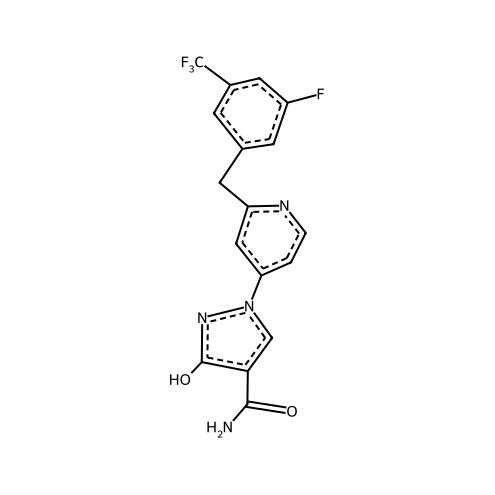 NC(=O)c1cn(-c2ccnc(Cc3cc(F)cc(C(F)(F)F)c3)c2)nc1O